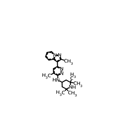 Cc1cc(-c2c(C)nn3ccccc23)nnc1NC1CC(C)(C)NC(C)(C)C1